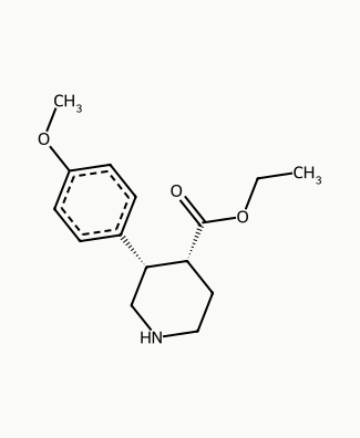 CCOC(=O)[C@@H]1CCNC[C@@H]1c1ccc(OC)cc1